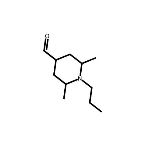 CCCN1C(C)CC(C=O)CC1C